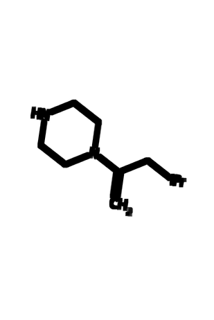 C=C(CC(C)C)N1CCNCC1